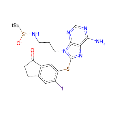 CC(C)(C)[S+]([O-])NCCCn1c(Sc2cc3c(cc2I)CCC3=O)nc2c(N)ncnc21